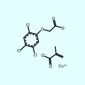 C=C(C)C(=O)[O-].O=C([O-])COc1cc(Cl)c(Cl)cc1Cl.[Cu+2]